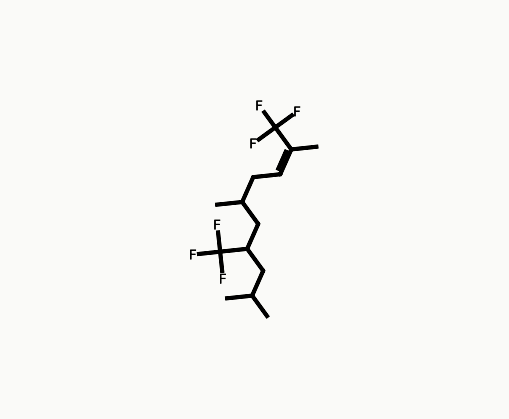 C/C(=C/CC(C)CC(CC(C)C)C(F)(F)F)C(F)(F)F